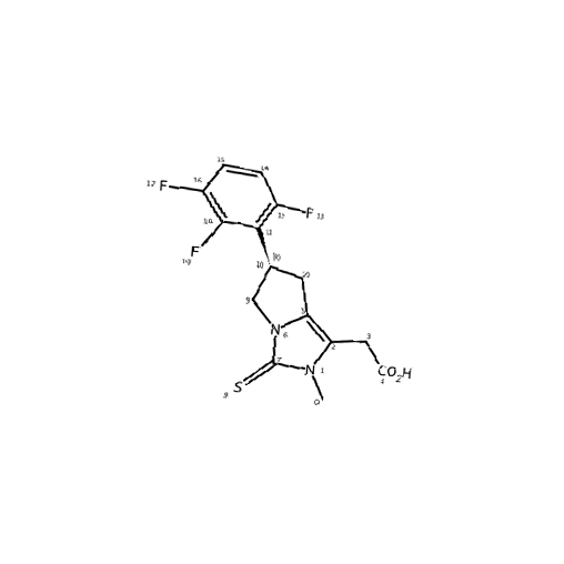 Cn1c(CC(=O)O)c2n(c1=S)C[C@@H](c1c(F)ccc(F)c1F)C2